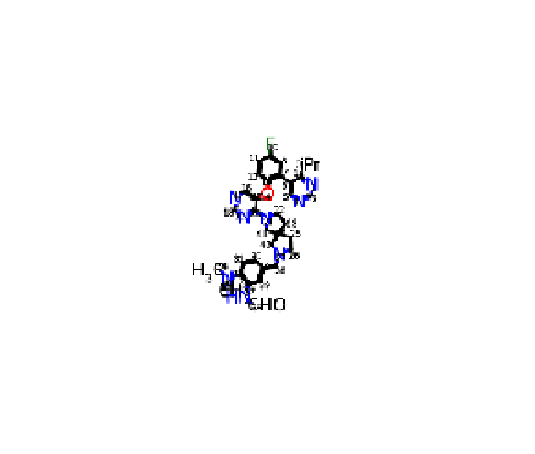 CC(C)c1ncncc1-c1cc(F)ccc1Oc1cncnc1N1CCC2(CCN(Cc3ccc(N(C)C)c(NC=O)c3)C2)C1